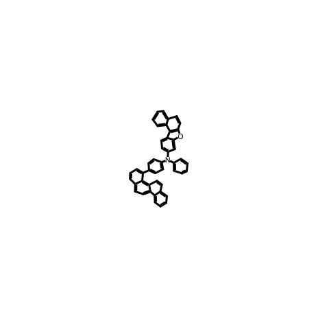 c1ccc(N(c2ccc(-c3cccc4ccc5c6ccccc6ccc5c34)cc2)c2ccc3c(c2)oc2ccc4ccccc4c23)cc1